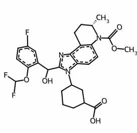 COC(=O)N1c2ccc3c(nc(C(O)c4cc(F)ccc4OC(F)F)n3C3CCCC(C(=O)O)C3)c2CC[C@@H]1C